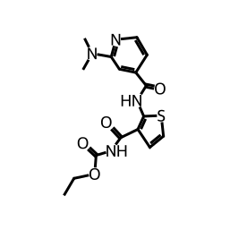 CCOC(=O)NC(=O)c1ccsc1NC(=O)c1ccnc(N(C)C)c1